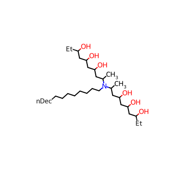 CCCCCCCCCCCCCCCCCCN(C(C)CC(O)CC(O)CC(O)CC)C(C)CC(O)CC(O)CC(O)CC